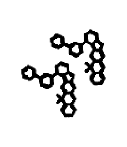 CC1(C)c2ccccc2C=c2cc3c(cc21)=c1c(-c2cccc(-c4ccccc4)c2)cccc1=C3.CC1(C)c2ccccc2C=c2cc3c(cc21)=c1c(-c2cccc(-c4ccccc4)c2)cccc1=C3